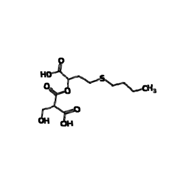 CCCCSCCC(OC(=O)C(CO)C(=O)O)C(=O)O